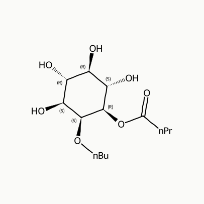 CCCCO[C@H]1[C@@H](O)[C@H](O)[C@@H](O)[C@H](O)[C@H]1OC(=O)CCC